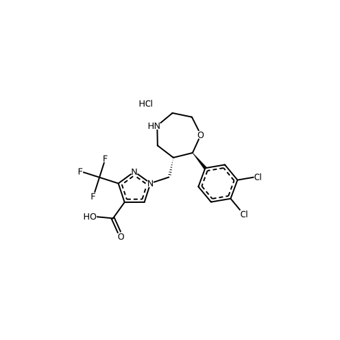 Cl.O=C(O)c1cn(C[C@@H]2CNCCO[C@H]2c2ccc(Cl)c(Cl)c2)nc1C(F)(F)F